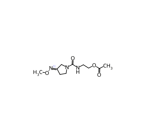 CO/N=C1\CCN(C(=O)NCCOC(C)=O)C1